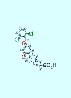 CC(C)(CN1CCC2(CC1)COc1cc(OCc3c(Cl)cccc3Cl)ccc12)C(=O)O